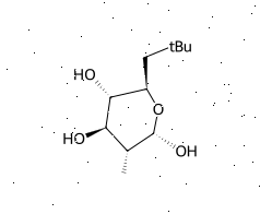 C[C@@H]1[C@@H](O)[C@H](O)[C@@H](CC(C)(C)C)O[C@@H]1O